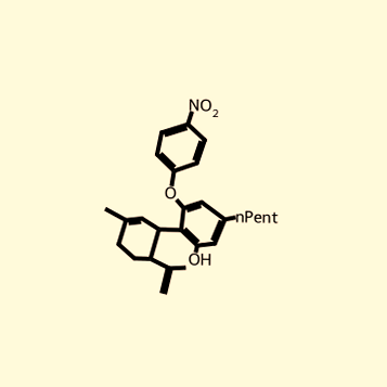 C=C(C)C1CCC(C)=CC1c1c(O)cc(CCCCC)cc1Oc1ccc([N+](=O)[O-])cc1